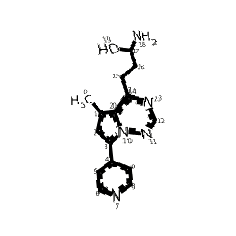 Cc1cc(-c2ccncc2)n2ncnc(CCC(N)O)c12